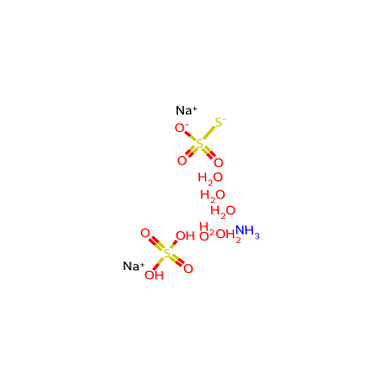 N.O.O.O.O.O.O=S(=O)(O)O.O=S(=O)([O-])[S-].[Na+].[Na+]